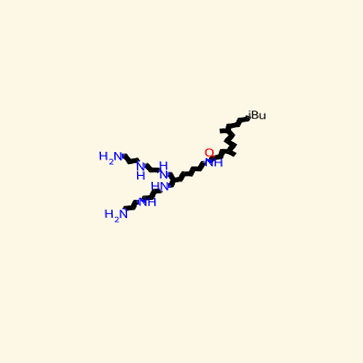 CCC(C)CCCCC(C)CCCC(C)CCC(=O)NCCCCCCC(CNCCCCNCCCN)CNCCCNCCCN